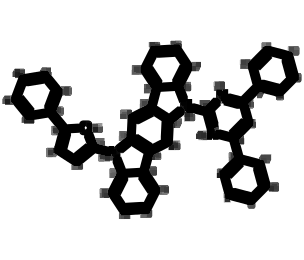 c1ccc(-c2cc(-c3ccccc3)nc(-n3c4ccccc4c4cc5c(cc43)c3ccccc3n5-c3ccc(-c4ccccc4)o3)n2)cc1